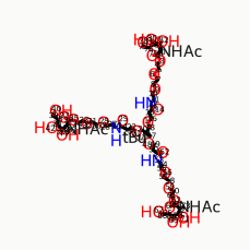 CC(=O)NC1C(OCCOCCOCCNC(=O)CCOCC(COCCC(=O)NCCOCCOCCOC2OC(CO)C(O)C(O)C2NC(C)=O)(COCCC(=O)NCCOCCOCCOC2OC(CO)C(O)C(O)C2NC(C)=O)C(C)(C)C)OC(CO)C(O)C1O